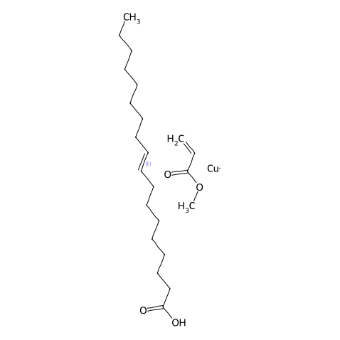 C=CC(=O)OC.CCCCCCCC/C=C/CCCCCCCC(=O)O.[Cu]